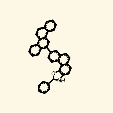 c1ccc(C2Nc3ccc4ccc5cc(-c6cc7c8ccccc8ccc7c7ccccc67)ccc5c4c3O2)cc1